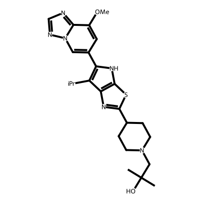 COc1cc(-c2[nH]c3sc(C4CCN(CC(C)(C)O)CC4)nc3c2C(C)C)cn2ncnc12